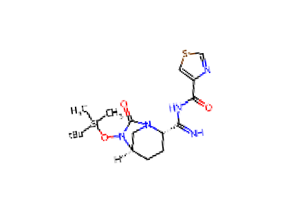 CC(C)(C)[Si](C)(C)ON1C(=O)N2C[C@H]1CC[C@H]2C(=N)NC(=O)c1cscn1